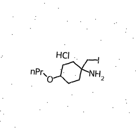 CCCOC1CCC(N)(CI)CC1.Cl